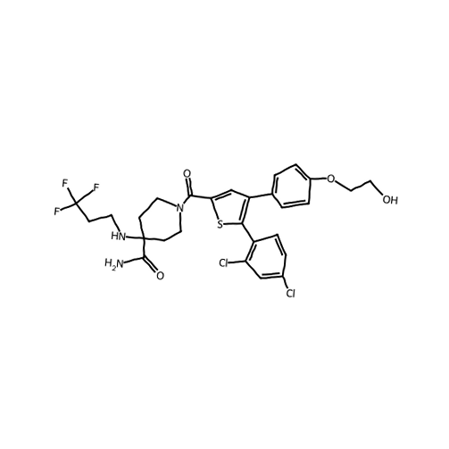 NC(=O)C1(NCCC(F)(F)F)CCN(C(=O)c2cc(-c3ccc(OCCO)cc3)c(-c3ccc(Cl)cc3Cl)s2)CC1